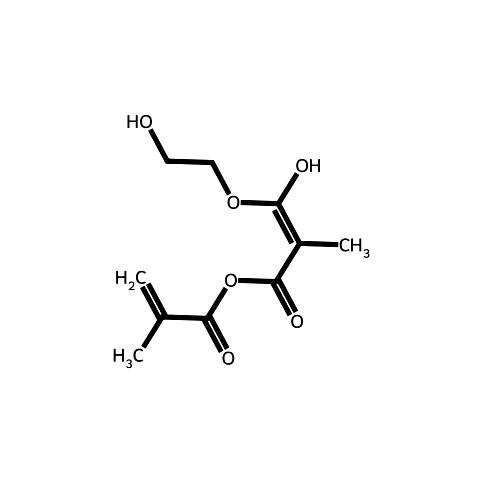 C=C(C)C(=O)OC(=O)C(C)=C(O)OCCO